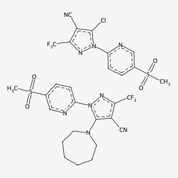 CS(=O)(=O)c1ccc(-n2nc(C(F)(F)F)c(C#N)c2Cl)nc1.CS(=O)(=O)c1ccc(-n2nc(C(F)(F)F)c(C#N)c2N2CCCCCC2)nc1